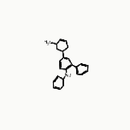 NC1C=CCC(c2ccc(NC3C=CC=CC3)c(-c3ccccc3)c2)C1